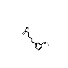 Nc1cccc(CCCCC(=O)O)n1